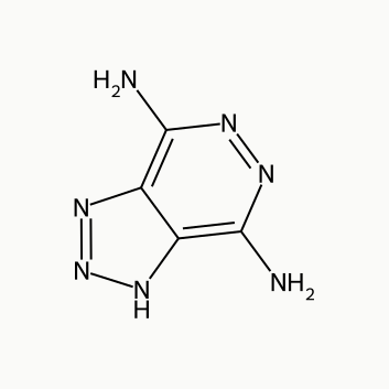 Nc1nnc(N)c2[nH]nnc12